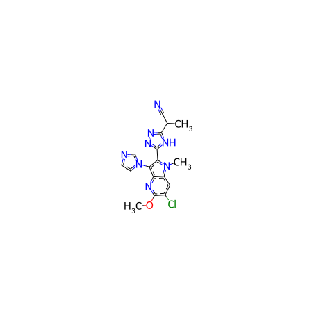 COc1nc2c(-n3ccnc3)c(-c3nnc(C(C)C#N)[nH]3)n(C)c2cc1Cl